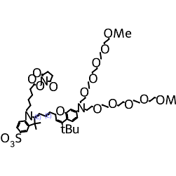 COCCOCCOCCOCCOCCN(CCOCCOCCOCCOCCOC)c1ccc2c(c1)OC(/C=C/C=C1/N(CCCCCC(=O)ON3C(=O)CCC3=O)c3ccc(S(=O)(=O)O)cc3C1(C)C)C=C2C(C)(C)C